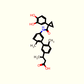 Cc1ccc(NC(=O)C2(c3ccc(O)c(O)c3)CC2)cc1-c1cc(C(C)CC(=O)O)ccc1C